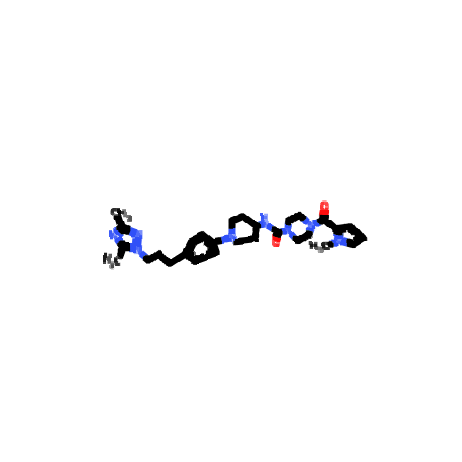 Cc1nc(C)n(CCCc2ccc(N3CCC(NC(=O)N4CCN(C(=O)c5cccn5C)CC4)CC3)cc2)n1